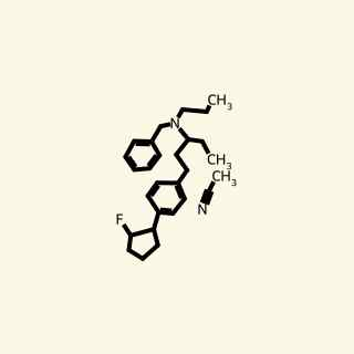 CC#N.CCCN(Cc1ccccc1)C(CC)CCc1ccc(C2CCCC2F)cc1